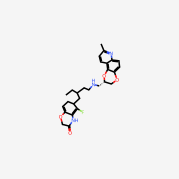 CCC(CCNC[C@H]1COc2ccc3nc(C)ccc3c2O1)CC1CC=C2OCC(=O)NC2=C1F